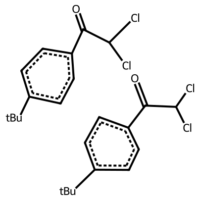 CC(C)(C)c1ccc(C(=O)C(Cl)Cl)cc1.CC(C)(C)c1ccc(C(=O)C(Cl)Cl)cc1